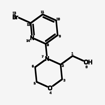 OCC1COCCN1c1cccc(Br)n1